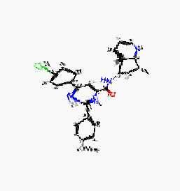 COc1ccc(-c2nc(C(=O)N[C@H]3CCc4ncccc43)cc(-c3ccc(Cl)cc3)n2)cc1